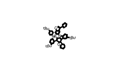 CC(C)(C)c1ccc(N2B3c4cc5occ(-c6ccccc6)c5cc4-n4c5ccc(C(C)(C)C)cc5c5c6c(oc7ccccc76)c(c3c54)-c3cc(C(C)(C)C)ccc32)cc1